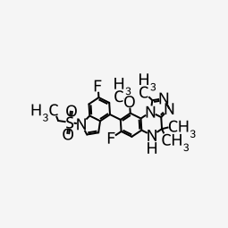 CCS(=O)(=O)n1ccc2c(-c3c(F)cc4c(c3OC)-n3c(C)nnc3C(C)(C)N4)cc(F)cc21